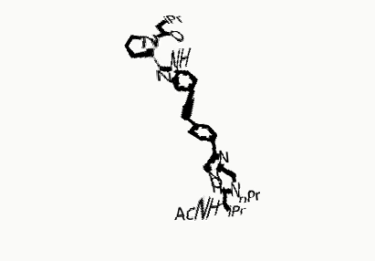 CCCN(Cc1nc(-c2ccc(C#Cc3ccc4[nH]c([C@@H]5CCCN5C(=O)CC(C)C)nc4c3)cc2)c[nH]1)C(=O)[C@@H](NC(C)=O)C(C)C